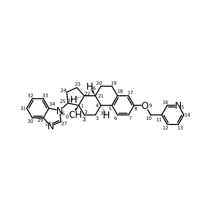 C[C@]12CC[C@@H]3c4ccc(OCc5cccnc5)cc4CC[C@H]3[C@@H]1CCC2n1cnc2ccccc21